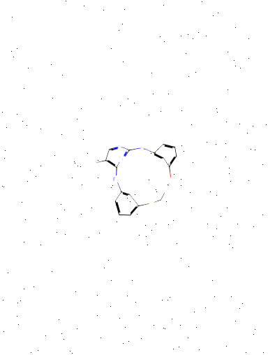 Clc1cnc2nc1Nc1cccc(c1)SCCOc1cccc(c1)N2